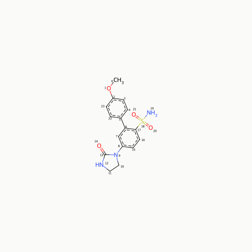 COc1ccc(-c2cc(N3CCNC3=O)ccc2S(N)(=O)=O)cc1